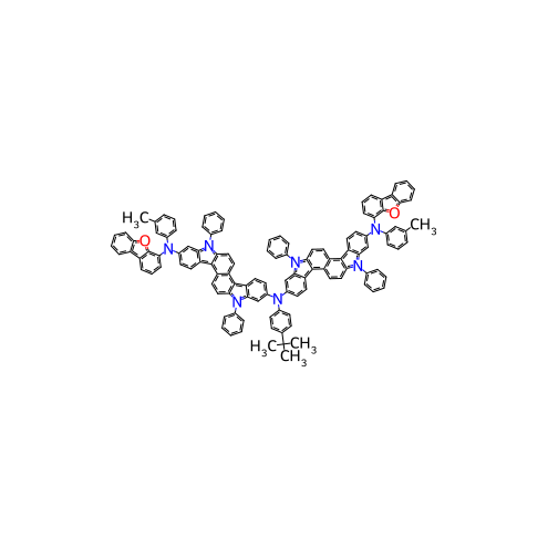 Cc1cccc(N(c2ccc3c4c5ccc6c(c5ccc4n(-c4ccccc4)c3c2)c2ccc(N(c3ccc(C(C)(C)C)cc3)c3ccc4c5c7ccc8c(c7ccc5n(-c5ccccc5)c4c3)c3ccc(N(c4cccc(C)c4)c4cccc5c4oc4ccccc45)cc3n8-c3ccccc3)cc2n6-c2ccccc2)c2cccc3c2oc2ccccc23)c1